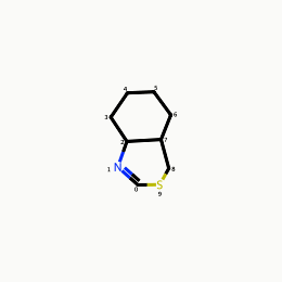 C1=NC2CCCCC2CS1